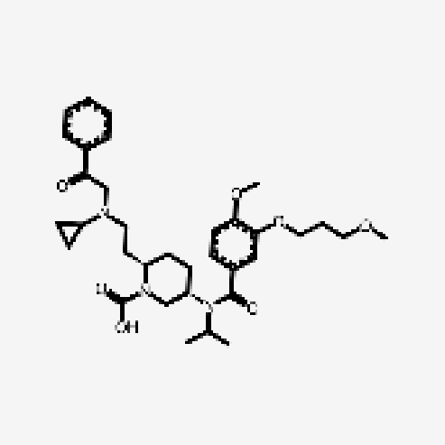 COCCCOc1cc(C(=O)N(C(C)C)[C@@H]2CC[C@H](CCN(CC(=O)c3ccccc3)C3CC3)N(C(=O)O)C2)ccc1OC